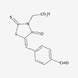 O=Cc1ccc(/C=C2/SC(=S)N(CC(=O)O)C2=O)cc1